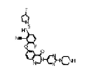 N#Cc1c(NSN2CCC(F)C2)ccc(F)c1Oc1ccc2ncn(-c3cnc(N4CCNCC4)nc3)c(=O)c2c1